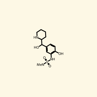 CNS(=O)(=O)Nc1cc(C(O)C2CCCCN2)ccc1O